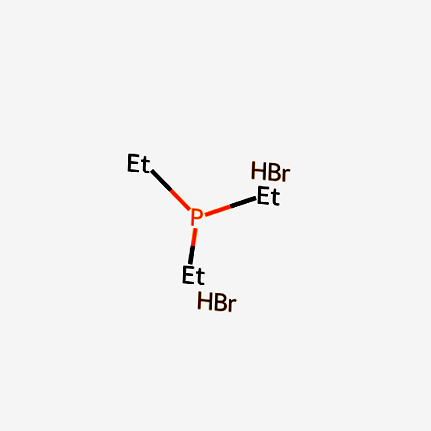 Br.Br.CCP(CC)CC